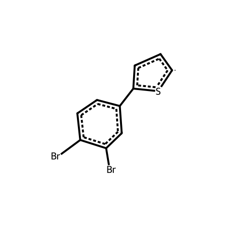 Brc1ccc(-c2cc[c]s2)cc1Br